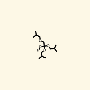 CC(C)COCC([O][Ti])(OCC(C)C)OCC(C)C